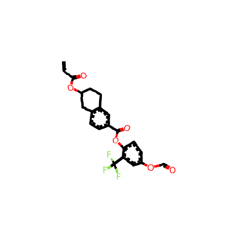 C=CC(=O)OC1CCc2cc(C(=O)Oc3ccc(OC=O)cc3C(F)(F)F)ccc2C1